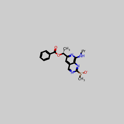 CC(C)Nc1nc([C@@H](C)OC(=O)c2ccccc2)cc2cnc([S+](C)[O-])nc12